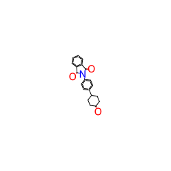 O=C1CCC(c2ccc(N3C(=O)c4ccccc4C3=O)cc2)CC1